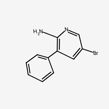 Nc1ncc(Br)cc1-c1ccccc1